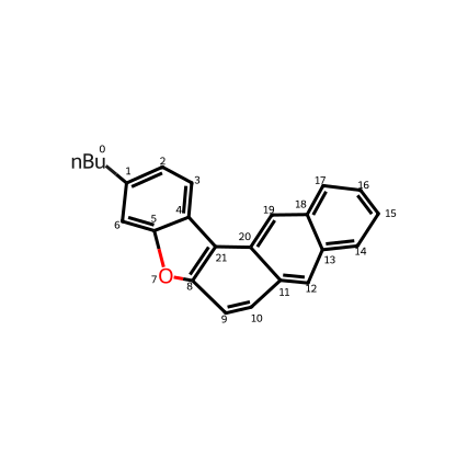 CCCCc1ccc2c(c1)oc1ccc3cc4ccccc4cc3c12